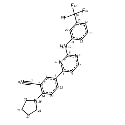 N#Cc1cc(-c2ccnc(Nc3cccc(C(F)(F)F)c3)n2)ccc1N1CCCC1